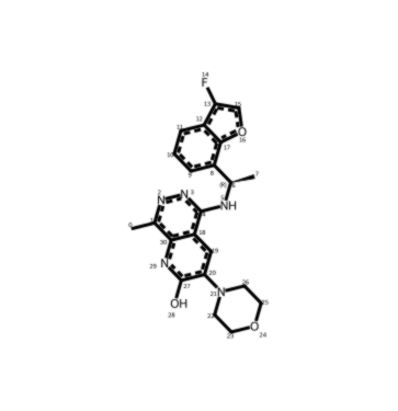 Cc1nnc(N[C@H](C)c2cccc3c(F)coc23)c2cc(N3CCOCC3)c(O)nc12